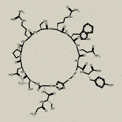 C[C@@H](O)[C@@H]1NC(=O)[C@@H](NC(=O)[C@H](CS)NC(=O)CN)Cn2cc(nn2)CCCC(C(=O)N[C@@H](Cc2ccc(O)cc2)C(=O)O)NC(=O)[C@H](CCC(N)=O)NC(=O)[C@H](Cc2c[nH]c3ccccc23)NC(=O)[C@H](CCCNC(N)=O)NC(=O)[C@H](CS)NC(=O)[C@H](CCCNC(=N)N)NC(=O)[C@@H]2CCCN2C(=O)[C@H](CC(=O)O)NC1=O